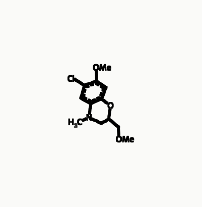 COCC1CN(C)c2cc(Cl)c(OC)cc2O1